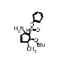 Cc1ccc(N)c([PH](=O)Oc2ccccc2)c1OC(C)(C)C